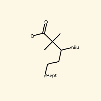 CCCCCCCCCC(CCCC)C(C)(C)C([O])=O